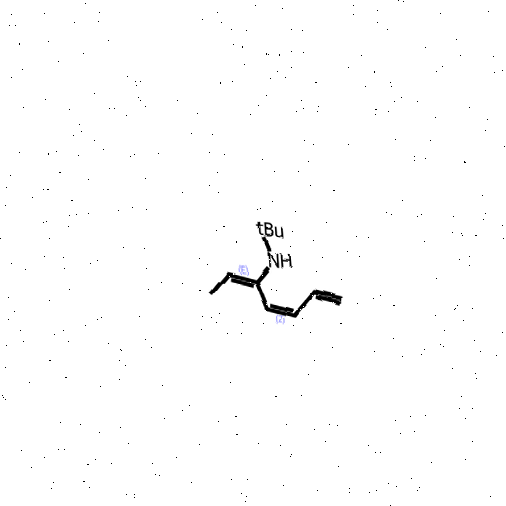 C=C/C=C\C(=C/C)NC(C)(C)C